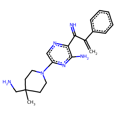 C=C(C(=N)c1ncc(N2CCC(C)(CN)CC2)nc1N)c1ccccc1